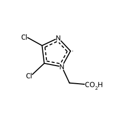 O=C(O)Cn1[c]nc(Cl)c1Cl